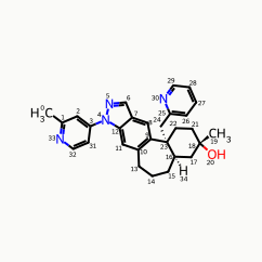 Cc1cc(-n2ncc3cc4c(cc32)CCC[C@@H]2C[C@@](C)(O)CC[C@]42Cc2ccccn2)ccn1